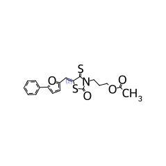 CC(=O)OCCCN1C(=O)S/C(=C\c2ccc(-c3ccccc3)o2)C1=S